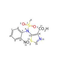 CS(=O)(=O)N(c1ccccc1[N+](=O)[O-])c1scnc1C(=O)O